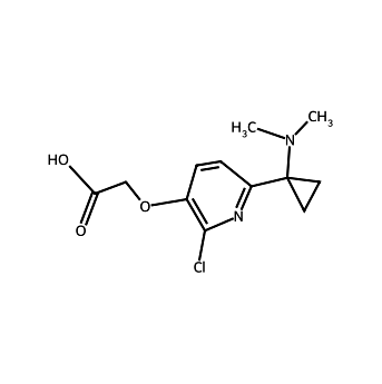 CN(C)C1(c2ccc(OCC(=O)O)c(Cl)n2)CC1